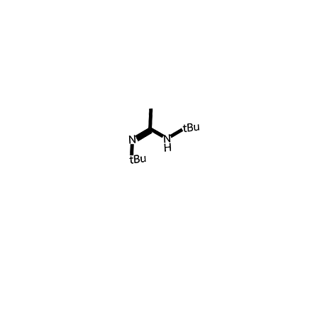 CC(=NC(C)(C)C)NC(C)(C)C